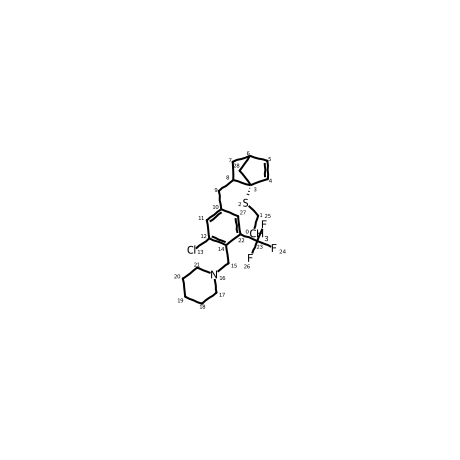 CCS[C@]12C=CC(CC1Cc1cc(Cl)c(CN3CCCCC3)c(C(F)(F)F)c1)C2